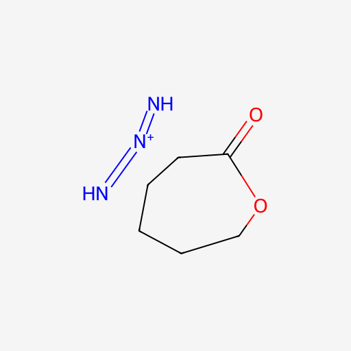 N=[N+]=N.O=C1CCCCCO1